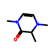 CC1C(=O)N(C)C=CN1C